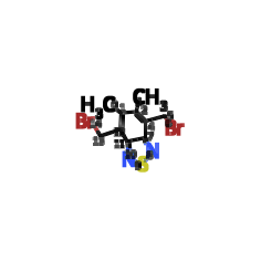 Cc1c(C)c(CBr)c2nsnc2c1CBr